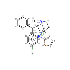 CN(c1cccs1)[C@@H]1C2CCN(CC2)[C@@H]1[C@H](c1ccccc1)c1ccc(Cl)cc1Cl